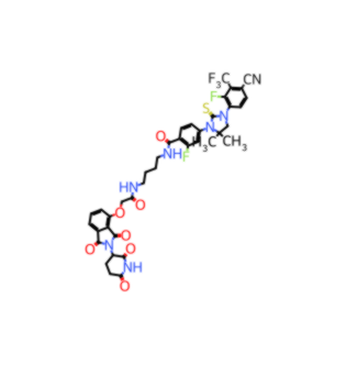 CC1(C)CN(c2ccc(C#N)c(C(F)(F)F)c2F)C(=S)N1c1ccc(C(=O)NCCCCNC(=O)COc2cccc3c2C(=O)N(C2CCC(=O)NC2=O)C3=O)c(F)c1